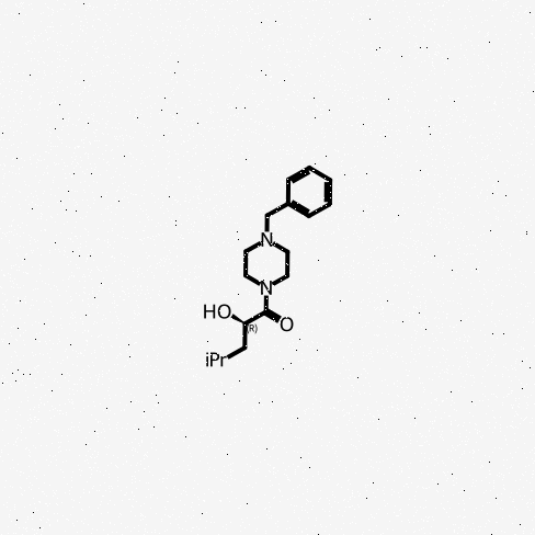 CC(C)C[C@@H](O)C(=O)N1CCN(Cc2ccccc2)CC1